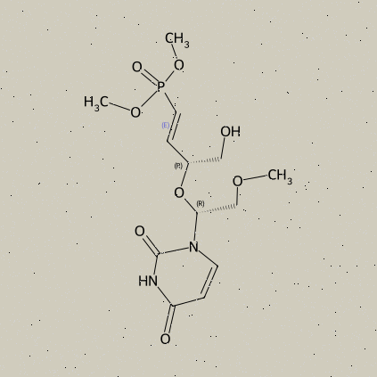 COC[C@@H](O[C@H](/C=C/P(=O)(OC)OC)CO)n1ccc(=O)[nH]c1=O